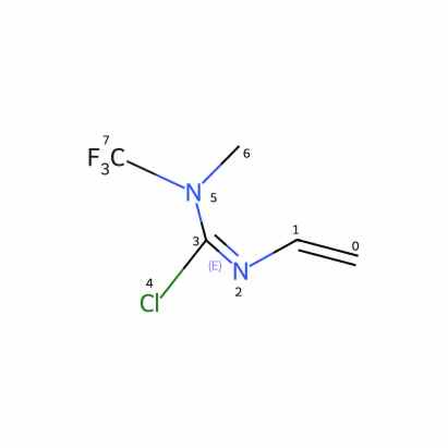 C=C/N=C(/Cl)N(C)C(F)(F)F